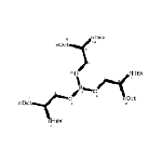 CCCCCCCCC(CCCCCC)COP(OCC(CCCCCC)CCCCCCCC)OCC(CCCCCC)CCCCCCCC